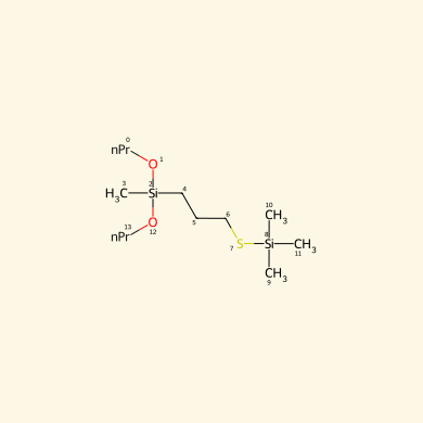 CCCO[Si](C)(CCCS[Si](C)(C)C)OCCC